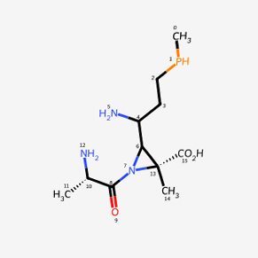 CPCCC(N)C1N(C(=O)[C@H](C)N)[C@@]1(C)C(=O)O